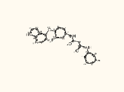 O=C(CC(=O)Nc1ccc(Oc2ccnc3[nH]ccc23)c(F)c1)Nc1ccccc1